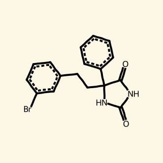 O=C1NC(=O)C(CCc2cccc(Br)c2)(c2ccccc2)N1